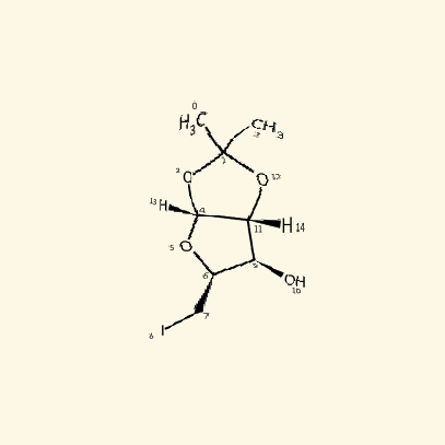 CC1(C)O[C@H]2O[C@H](CI)[C@H](O)[C@H]2O1